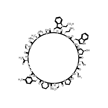 CCCC[C@H]1C(=O)N(C)[C@@H](CCCC)C(=O)N[C@@H](CC(C)C)C(=O)N[C@H](C(N)=O)CCCC(=O)N[C@@H](Cc2ccc(C)cc2)C(=O)N2CCCC[C@H]2C(=O)N[C@@H](CC(=O)O)C(=O)N2CCC[C@H]2C(=O)N[C@@H](CN)C(=O)N[C@@H](CC(C)C)C(=O)N2C[C@H](O)C[C@H]2C(=O)N[C@@H](Cc2c[nH]c3ccccc23)C(=O)N[C@@H](CCN)C(=O)N[C@@H](Cc2cn(CC(=O)O)c3ccccc23)C(=O)N1C